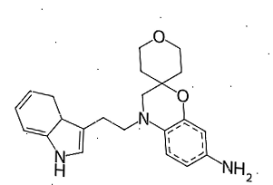 Nc1ccc2c(c1)OC1(CCOCC1)CN2CCC1=CNC2=CC=CCC12